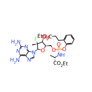 CCOC(=O)CCc1ccccc1OP(=O)(N[C@@H](C)C(=O)OCC)OC[C@H]1O[C@@H](n2cnc3c(N)nc(N)nc32)[C@](C)(F)C1O